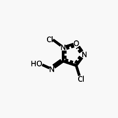 ON=c1c(Cl)non1Cl